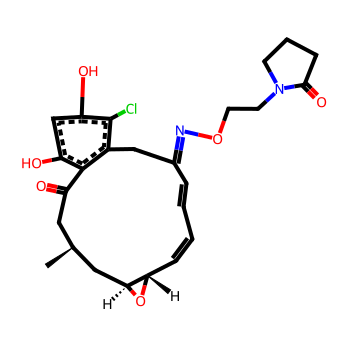 C[C@H]1CC(=O)c2c(O)cc(O)c(Cl)c2CC(=N/OCCN2CCCC2=O)/C=C/C=C\[C@@H]2O[C@H]2C1